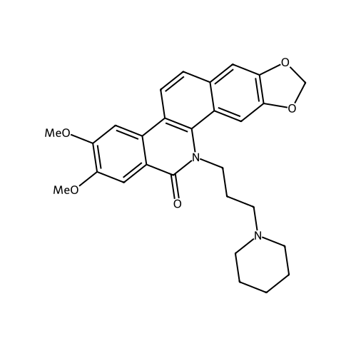 COc1cc2c(=O)n(CCCN3CCCCC3)c3c4cc5c(cc4ccc3c2cc1OC)OCO5